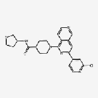 O=C(NC1CCOC1)C1CCN(c2nc(-c3ccnc(Cl)c3)cc3cnccc23)CC1